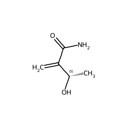 C=C(C(N)=O)[C@H](C)O